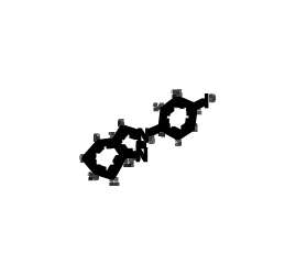 Ic1ccc(-n2cc3ccccc3n2)cc1